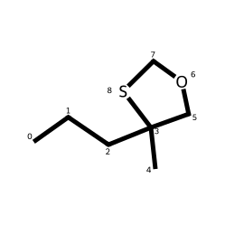 CCCC1(C)COCS1